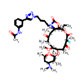 CC[C@H]1OC(=O)[C@@](C)(F)C(=O)[C@H](C)[C@@H](O[C@@H]2O[C@H](C)C[C@H](N(C)C)[C@H]2C)[C@@](C)(OC)C[C@@H](C)C(=O)[C@H](C)[C@@H]2N(CCCCn3cc(-c4cccc(NC(C)=O)c4)nn3)C(=O)O[C@@]21C